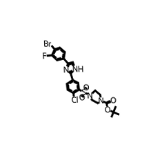 CC(C)(C)OC(=O)N1CCN(S(=O)(=O)c2cc(-c3nc(-c4ccc(Br)c(F)c4)c[nH]3)ccc2Cl)CC1